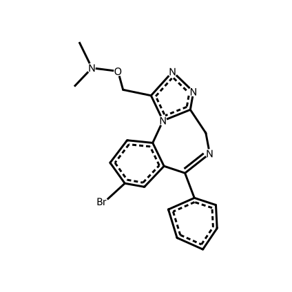 CN(C)OCc1nnc2n1-c1ccc(Br)cc1C(c1ccccc1)=NC2